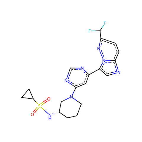 O=S(=O)(N[C@H]1CCCN(c2cc(-c3cnc4ccc(C(F)F)nn34)ncn2)C1)C1CC1